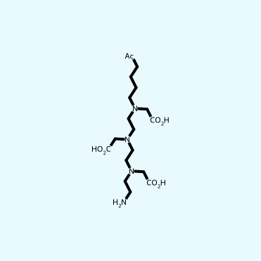 CC(=O)CCCCN(CCN(CCN(CCN)CC(=O)O)CC(=O)O)CC(=O)O